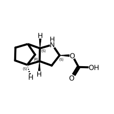 O=C(O)O[C@H]1C[C@@H]2[C@H]3CCC(C3)[C@@H]2N1